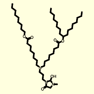 CCCCCCCCCOC(=O)CCCCCCCN(CCCCCCCC(=O)OC(CCCCCCCC)CCCCCCCC)CCCN1C(=O)CN(C)C1O